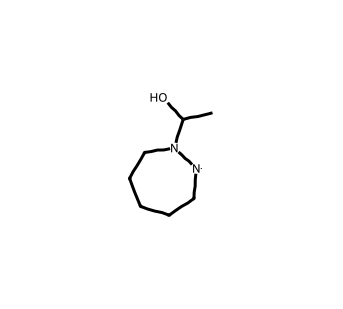 CC(O)N1CCCCC[N]1